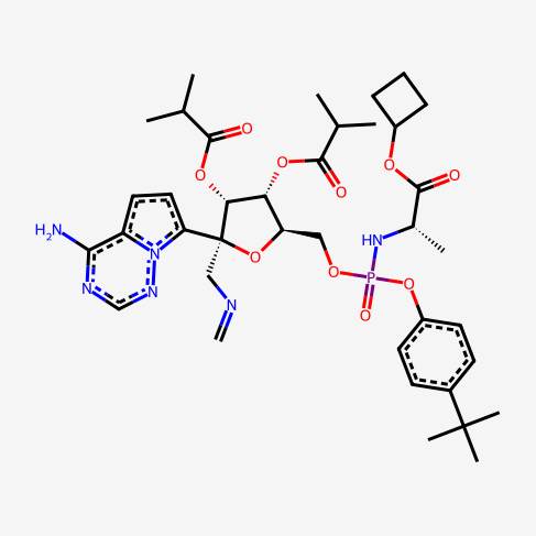 C=NC[C@@]1(c2ccc3c(N)ncnn23)O[C@H](COP(=O)(N[C@@H](C)C(=O)OC2CCC2)Oc2ccc(C(C)(C)C)cc2)[C@@H](OC(=O)C(C)C)[C@H]1OC(=O)C(C)C